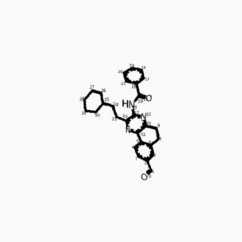 O=Cc1ccc2c(c1)CCc1nc(NC(=O)c3ccccc3)c(CCC3CCCCC3)nc1-2